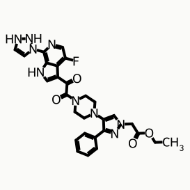 CCOC(=O)Cn1cc(N2CCN(C(=O)C(=O)c3c[nH]c4c(N5C=CNN5)ncc(F)c34)CC2)c(-c2ccccc2)n1